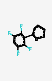 Fc1cc(F)c(F)c(-c2bcccc2)c1F